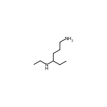 CCNC(CC)CCCN